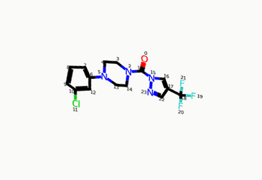 O=C(N1CCN(c2cccc(Cl)c2)CC1)n1cc(C(F)(F)F)cn1